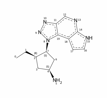 CC[C@@H]1C[C@H](N)C[C@@H]1n1nnc2cnc3[nH]ccc3c21